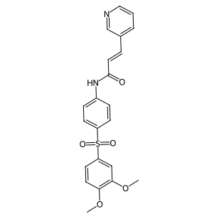 COc1ccc(S(=O)(=O)c2ccc(NC(=O)C=Cc3cccnc3)cc2)cc1OC